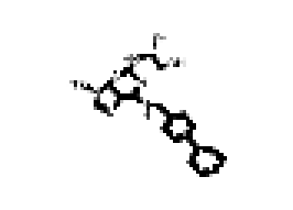 CCCN1C=NC2C(NCc3ccc(-c4ccccc4)cc3)=NC(N[C@H](CC)CO)=NC21